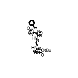 CC(c1ccccc1)n1c(-c2nonc2NOCCNS(=O)(=O)NC(=O)OC(C)(C)C)noc1=O